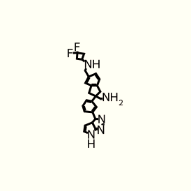 NCC1(c2cccc(C3N=CN=C4NC=CC43)c2)Cc2ccc(CNC3CC(F)(F)C3)cc2C1